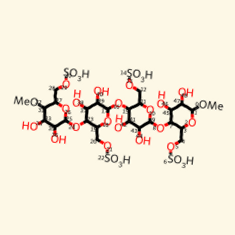 COC1OC(COS(=O)(=O)O)C(OC2OC(COS(=O)(=O)O)C(OC3OC(COS(=O)(=O)O)C(OC4OC(COS(=O)(=O)O)C(OC)C(O)C4O)C(O)C3O)C(O)C2O)C(O)C1O